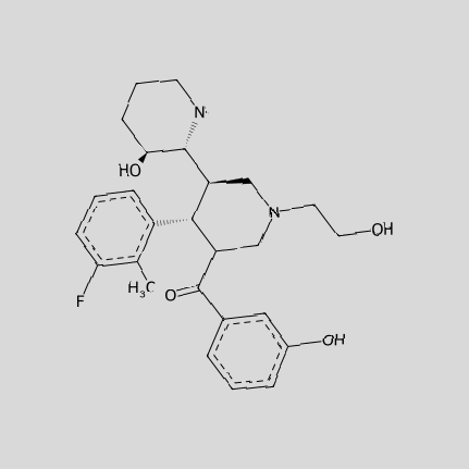 Cc1c(F)cccc1[C@H]1C(C(=O)c2cccc(O)c2)CN(CCO)C[C@@H]1[C@H]1[N]CCC[C@@H]1O